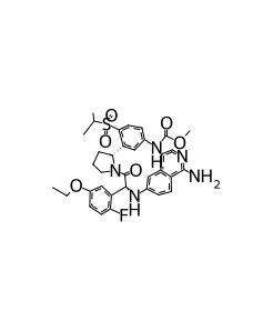 CCOc1ccc(F)c([C@H](Nc2ccc3c(N)nccc3c2)C(=O)N2CCC[C@@H]2c2cc(NC(=O)OC)ccc2S(=O)(=O)C(C)C)c1